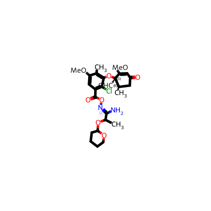 COC1=CC(=O)C[C@@H](C)[C@]1(C=O)Oc1c(C)c(OC)cc(C(=O)O/N=C(\N)C(C)OC2CCCCO2)c1Cl